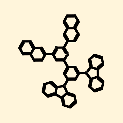 c1ccc2cc(-c3cc(-c4cc(-n5c6ccccc6c6ccccc65)cc(-n5c6ccccc6c6ccccc65)c4)nc(-c4ccc5ccccc5c4)n3)ccc2c1